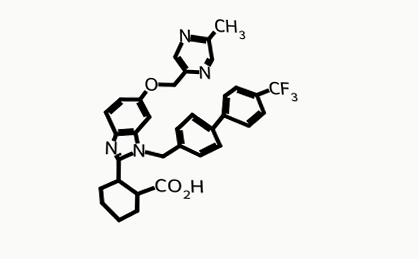 Cc1cnc(COc2ccc3nc(C4CCCCC4C(=O)O)n(Cc4ccc(-c5ccc(C(F)(F)F)cc5)cc4)c3c2)cn1